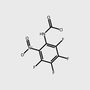 O=C(Cl)Nc1c(F)c(F)c(F)c(F)c1[N+](=O)[O-]